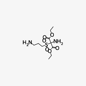 CCOC(=O)C(N)(C(=O)OCC)S(=O)(=O)CCCN